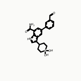 NC(=O)c1cc(-c2cccc(C=O)c2)cc2c(C3CCS(O)(O)CC3)c[nH]c12